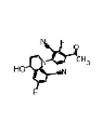 CC(=O)c1ccc(N2CCC(O)c3cc(F)cc(C#N)c32)c(C#N)c1F